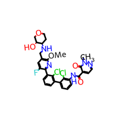 COc1nc(-c2cccc(-c3cccc(NC(=O)c4ccnn(C)c4=O)c3Cl)c2Cl)c(F)cc1CN[C@@H]1CCOC[C@@H]1O